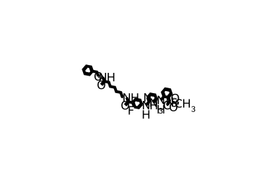 CN(c1ccccc1Nc1ccnc(Nc2ccc(C(=O)NCCCCCCC(=O)NOCc3ccccc3)c(F)c2)n1)S(C)(=O)=O